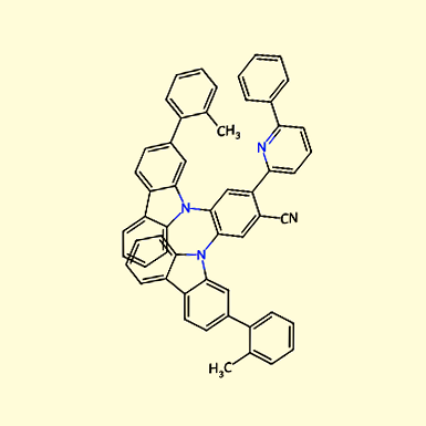 Cc1ccccc1-c1ccc2c3ccccc3n(-c3cc(C#N)c(-c4cccc(-c5ccccc5)n4)cc3-n3c4ccccc4c4ccc(-c5ccccc5C)cc43)c2c1